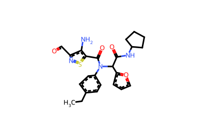 CCc1ccc(N(C(=O)c2snc(C=O)c2N)C(C(=O)NC2CCCC2)c2ccco2)cc1